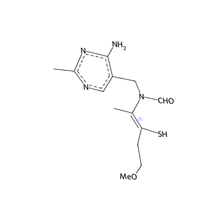 COCC/C(S)=C(\C)N(C=O)Cc1cnc(C)nc1N